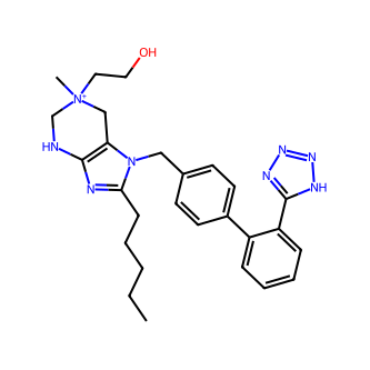 CCCCCc1nc2c(n1Cc1ccc(-c3ccccc3-c3nnn[nH]3)cc1)C[N+](C)(CCO)CN2